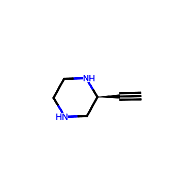 C#C[C@H]1CNCCN1